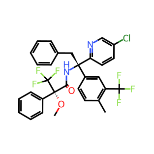 CO[C@](C(=O)N[C@@](Cc1ccccc1)(c1ccc(C)c(C(F)(F)F)c1)c1ccc(Cl)cn1)(c1ccccc1)C(F)(F)F